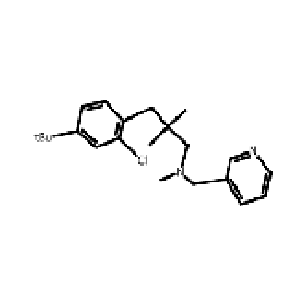 CN(Cc1cccnc1)CC(C)(C)Cc1ccc(C(C)(C)C)cc1Cl